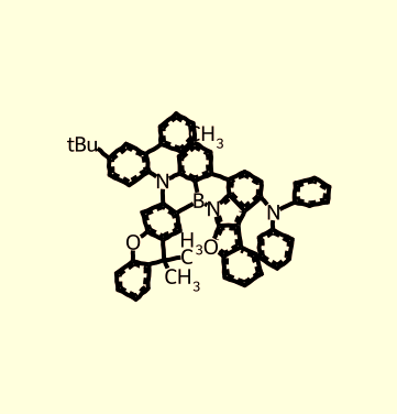 Cc1cc2c3c(c1)N(c1ccc(C(C)(C)C)cc1-c1ccccc1)c1cc4c(cc1B3n1c3oc5ccccc5c3c3c(N(c5ccccc5)c5ccccc5)ccc-2c31)C(C)(C)c1ccccc1O4